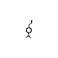 C=CCc1ccc(N(C)C)cc1